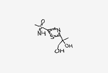 CC(O)(CO)c1ncc(S(C)(=N)=O)s1